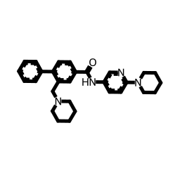 O=C(Nc1ccc(N2CCCCC2)nc1)c1ccc(-c2ccccc2)c(CN2CCCCC2)c1